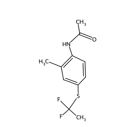 CC(=O)Nc1ccc(SC(C)(F)F)cc1C